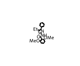 CCc1sc(NC(=O)c2c(OC)cccc2OC)nc1-c1ccccc1